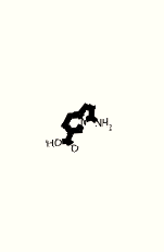 Nc1ccc2ccc(C(=O)O)cn12